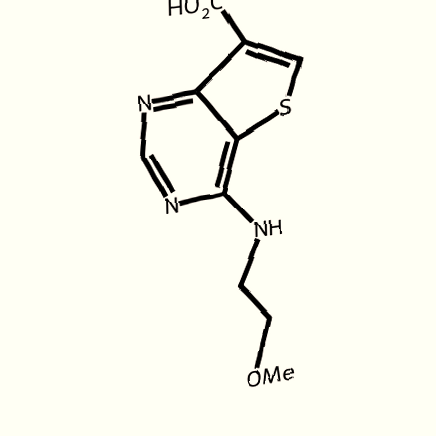 COCCNc1ncnc2c(C(=O)O)csc12